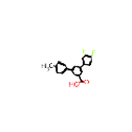 Cc1ccc(-c2cc(C(=O)O)cc(-c3ccc(F)c(F)c3)c2)cc1